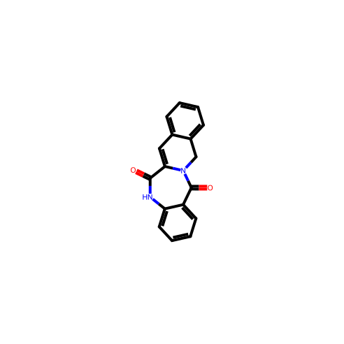 O=C1Nc2ccccc2C(=O)N2Cc3ccccc3C=C12